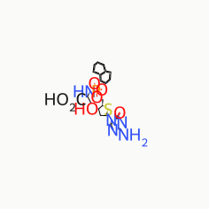 C[C@H](NP(=O)(OC[C@H]1S[C@@H](n2cnc(N)nc2=O)C[C@@H]1O)Oc1cccc2ccccc12)C(=O)O